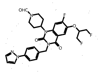 O=CN1CCC(n2c(=O)n(Cc3ccc(-n4cccn4)cc3)c(=O)c3cc(OC(CF)CF)c(F)cc32)CC1